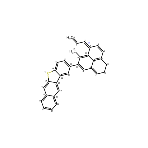 C=C/C=c1/ccc2c3c(cc(-c4ccc5sc6cc7ccccc7cc6c5c4)c(C)c13)=CCC2